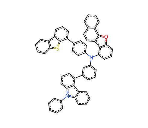 c1ccc(-n2c3ccccc3c3c(-c4cccc(N(c5ccc(-c6cccc7c6sc6ccccc67)cc5)c5cccc6oc7c8ccccc8ccc7c56)c4)cccc32)cc1